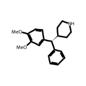 COc1ccc([C@@H](c2ccccc2)C2CCNCC2)cc1OC